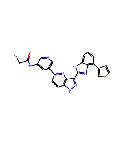 CC(C)(C)CC(=O)Nc1cncc(-c2ccc3[nH]nc(-c4nc5c(-c6ccsc6)cccc5[nH]4)c3n2)c1